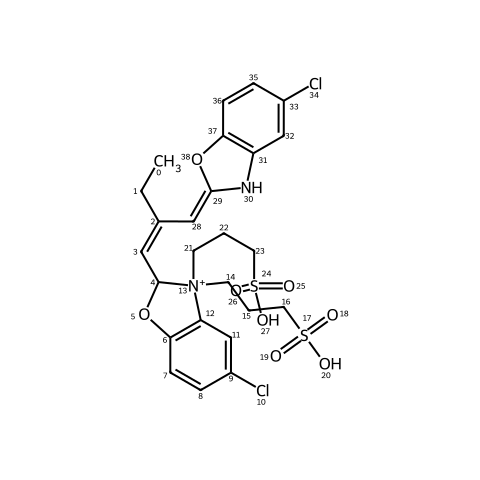 CCC(=CC1Oc2ccc(Cl)cc2[N+]1(CCCS(=O)(=O)O)CCCS(=O)(=O)O)C=C1Nc2cc(Cl)ccc2O1